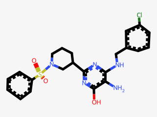 Nc1c(O)nc(C2CCCN(S(=O)(=O)c3ccccc3)C2)nc1NCc1cccc(Cl)c1